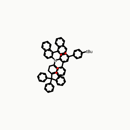 CC(C)(C)c1ccc(-c2ccc(N(C3=CC4=C(CC3)C(c3ccccc3)(c3ccccc3)c3ccccc34)c3ccc4ccccc4c3-c3c#ccc4ccccc34)c(-c3ccccc3)c2)cc1